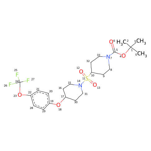 CC(C)(C)OC(=O)N1CCC(S(=O)(=O)N2CCC(Oc3ccc(OC(F)(F)F)cc3)CC2)CC1